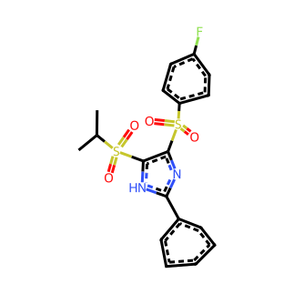 CC(C)S(=O)(=O)c1[nH]c(-c2ccccc2)nc1S(=O)(=O)c1ccc(F)cc1